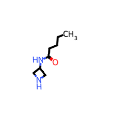 CCCCC(=O)NC1CNC1